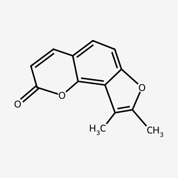 Cc1oc2ccc3ccc(=O)oc3c2c1C